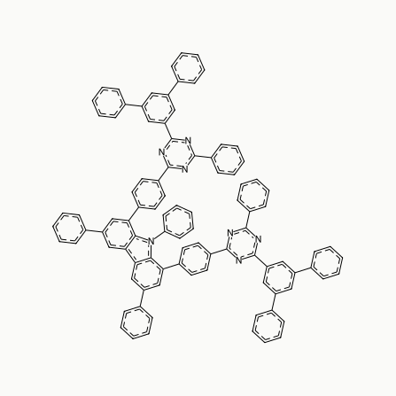 c1ccc(-c2cc(-c3ccccc3)cc(-c3nc(-c4ccccc4)nc(-c4ccc(-c5cc(-c6ccccc6)cc6c7cc(-c8ccccc8)cc(-c8ccc(-c9nc(-c%10ccccc%10)nc(-c%10cc(-c%11ccccc%11)cc(-c%11ccccc%11)c%10)n9)cc8)c7n(-c7ccccc7)c56)cc4)n3)c2)cc1